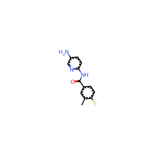 Cc1cc(C(=O)Nc2ccc(N)cn2)ccc1F